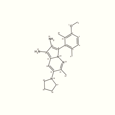 COc1ccc(C)c(-c2c(N)c(N)c3cc(N4CCCC4)c(C)nn23)c1C